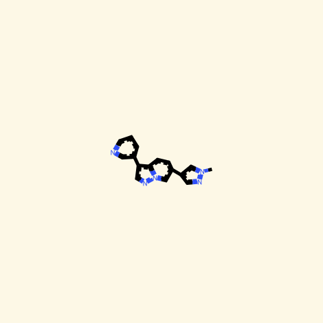 Cn1cc(-c2ccc3c(-c4cccnc4)cnn3c2)cn1